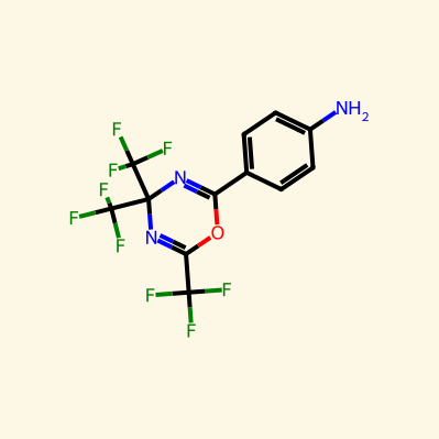 Nc1ccc(C2=NC(C(F)(F)F)(C(F)(F)F)N=C(C(F)(F)F)O2)cc1